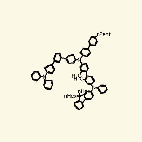 CCCCCCC1(CCCCCC)c2ccccc2-c2ccc(N(c3ccccc3)c3ccc(-c4ccc(N(c5ccc(-c6ccc(CCCCC)cc6)cc5)c5ccc(-c6cccc(-c7ccc(N(c8ccccc8)c8ccccc8)cc7)c6)cc5)cc4C)c(C)c3)cc21